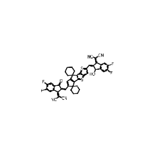 N#CC(C#N)=C1/C(=C/C2=CC3=C(c4sc5cc(/C=C6/C(=C(C#N)C#N)c7cc(F)c(F)cc7C6O)sc5c4C34CCCCC4)C23CCCCC3)C(=O)c2cc(F)c(F)cc21